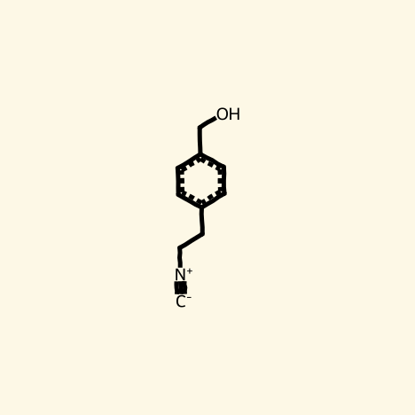 [C-]#[N+]CCc1ccc(CO)cc1